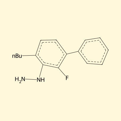 CCCCc1ccc(-c2ccccc2)c(F)c1NN